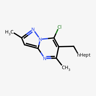 CCCCCCCCc1c(C)nc2cc(C)nn2c1Cl